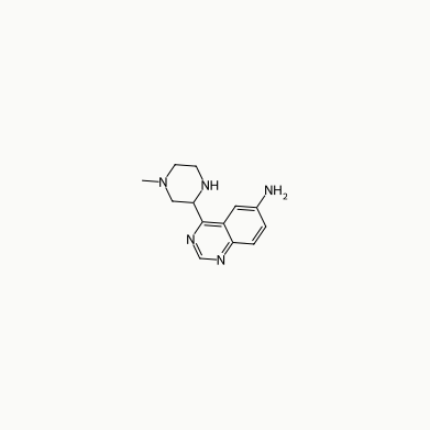 CN1CCNC(c2ncnc3ccc(N)cc23)C1